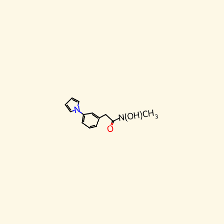 CN(O)C(=O)Cc1cccc(-n2cccc2)c1